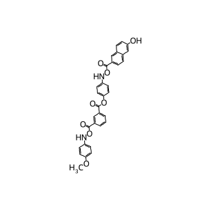 COc1ccc(NOC(=O)c2cccc(C(=O)Oc3ccc(NOC(=O)c4ccc5cc(O)ccc5c4)cc3)c2)cc1